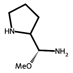 CO[C@@H](N)C1CCCN1